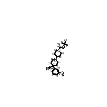 COc1cccc(C2(C#N)CCN(C3CCN(C(=O)OC(C)(C)C)CC3)CC2)c1